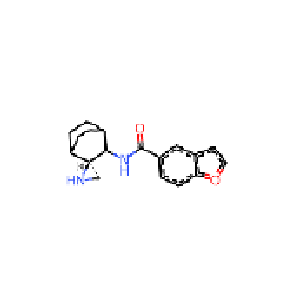 O=C(NC1C2CCC(CC2)[C@@]12CN2)c1ccc2occc2c1